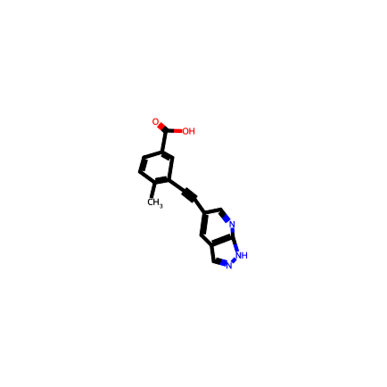 Cc1ccc(C(=O)O)cc1C#Cc1cnc2[nH]ncc2c1